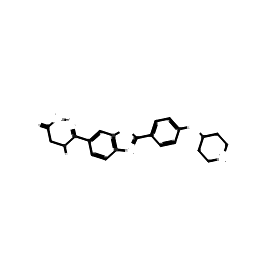 CCC1CC(=O)NN=C1c1ccc2nc(-c3ccc(OC4CCNCC4)cc3)oc2c1